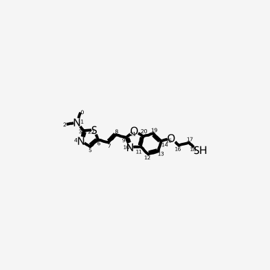 CN(C)c1ncc(/C=C/c2nc3ccc(OCCS)cc3o2)s1